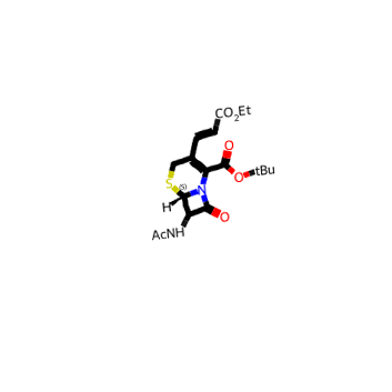 CCOC(=O)C=CC1=C(C(=O)OC(C)(C)C)N2C(=O)C(NC(C)=O)[C@@H]2SC1